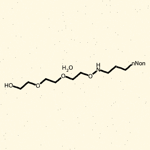 CCCCCCCCCCCCNOCCOCCOCCO.O